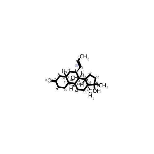 C/C=C/[C@@H]1C[C@H]2CC(=O)CC[C@]2(C)[C@H]2CC[C@@]3(C)[C@@H](CC[C@]3(C)O)[C@H]12